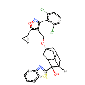 O[C@@]1(c2nc3ccccc3s2)C2CC3C[C@H]1C[C@](OCc1c(-c4c(Cl)cccc4Cl)noc1C1CC1)(C3)C2